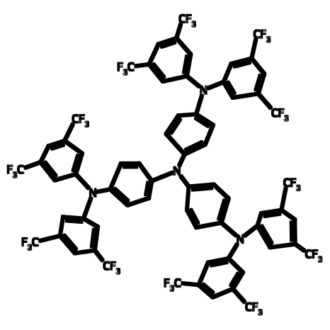 FC(F)(F)c1cc(N(c2ccc(N(c3ccc(N(c4cc(C(F)(F)F)cc(C(F)(F)F)c4)c4cc(C(F)(F)F)cc(C(F)(F)F)c4)cc3)c3ccc(N(c4cc(C(F)(F)F)cc(C(F)(F)F)c4)c4cc(C(F)(F)F)cc(C(F)(F)F)c4)cc3)cc2)c2cc(C(F)(F)F)cc(C(F)(F)F)c2)cc(C(F)(F)F)c1